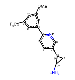 COc1cc(-c2ccc([C@H]3CC3N)cn2)cc(C(F)(F)F)c1